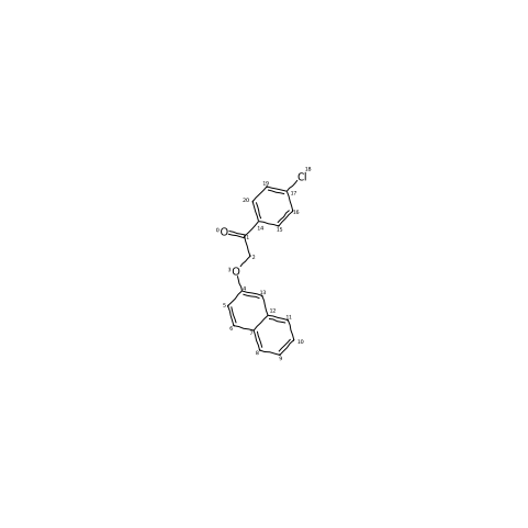 O=C(COc1ccc2ccccc2c1)c1ccc(Cl)cc1